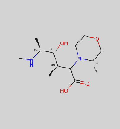 CN[C@@H](C)[C@H](O)[C@H](C)C(C(=O)O)N1CCOC[C@@H]1C